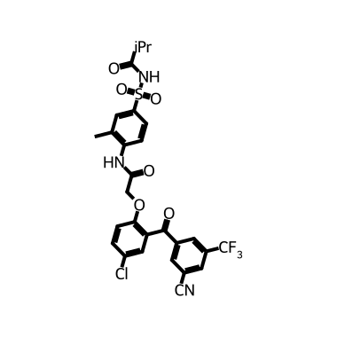 Cc1cc(S(=O)(=O)NC(=O)C(C)C)ccc1NC(=O)COc1ccc(Cl)cc1C(=O)c1cc(C#N)cc(C(F)(F)F)c1